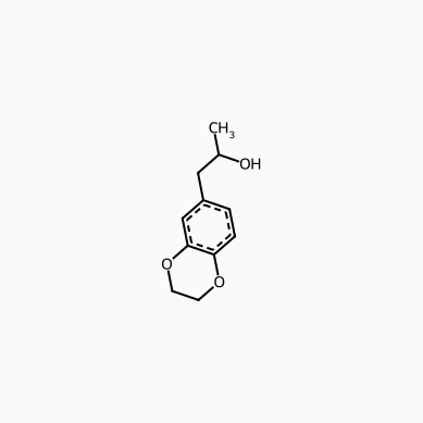 CC(O)Cc1ccc2c(c1)OCCO2